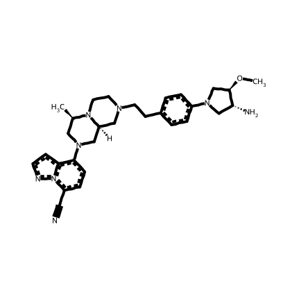 CO[C@@H]1CN(c2ccc(CCN3CCN4[C@@H](C3)CN(c3ccc(C#N)n5nccc35)C[C@H]4C)cc2)C[C@H]1N